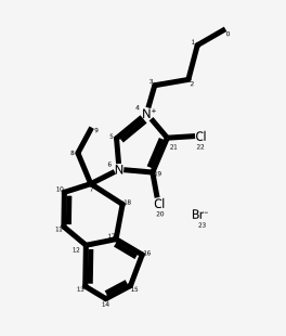 CCCC[n+]1cn(C2(CC)C=Cc3ccccc3C2)c(Cl)c1Cl.[Br-]